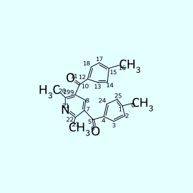 Cc1ccc(C(=O)c2cc(C(=O)c3ccc(C)cc3)c(C)nc2C)cc1